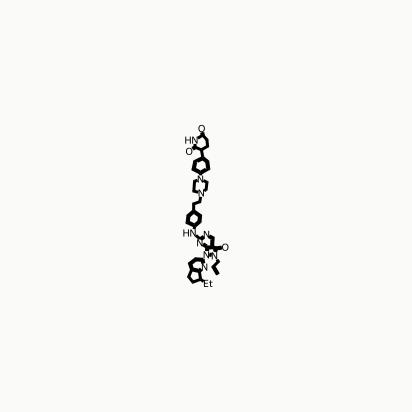 C=CCn1c(=O)c2cnc(Nc3ccc(CCN4CCN(c5ccc(C6CCC(=O)NC6=O)cc5)CC4)cc3)nc2n1-c1ccc2c(n1)C(CC)CC2